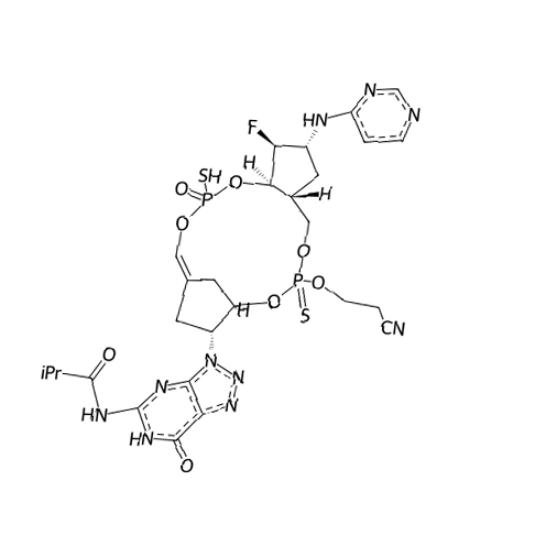 CC(C)C(=O)Nc1nc2c(nnn2[C@@H]2C/C3=C/OP(=O)(S)O[C@@H]4[C@@H](COP(=S)(OCCC#N)O[C@@H]2C3)C[C@@H](Nc2ccncn2)[C@@H]4F)c(=O)[nH]1